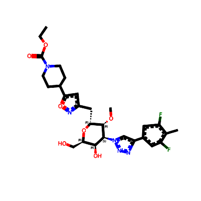 CCOC(=O)N1CCC(c2cc(C[C@H]3O[C@H](CO)[C@H](O)[C@H](n4cc(-c5cc(F)c(C)c(F)c5)nn4)[C@H]3OC)no2)CC1